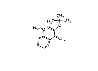 C=C(C(=O)OC(C)(C)C)c1ccccc1OC